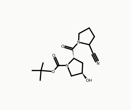 CC(C)(C)OC(=O)N1C[C@H](O)C[C@H]1C(=O)N1CCCC1C#N